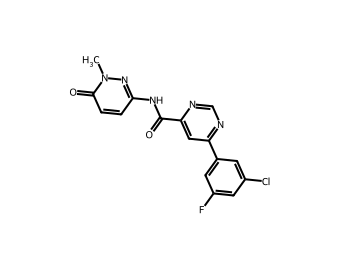 Cn1nc(NC(=O)c2cc(-c3cc(F)cc(Cl)c3)ncn2)ccc1=O